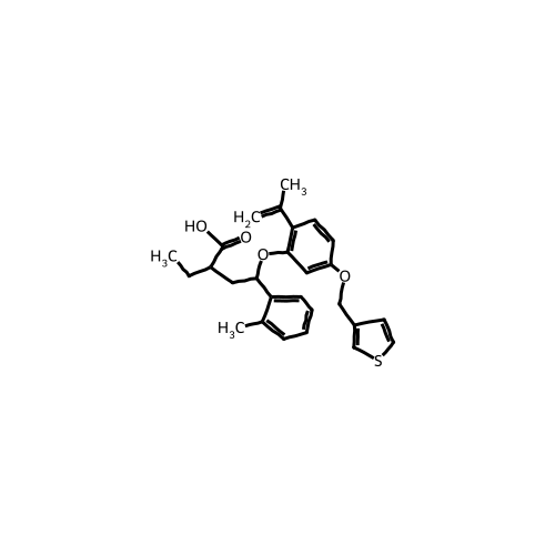 C=C(C)c1ccc(OCc2ccsc2)cc1OC(CC(CC)C(=O)O)c1ccccc1C